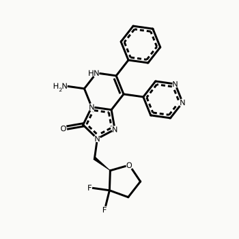 NC1NC(c2ccccc2)=C(c2ccnnc2)c2nn(C[C@H]3OCCC3(F)F)c(=O)n21